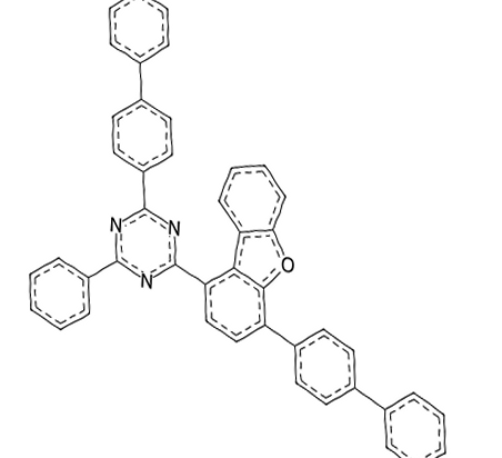 c1ccc(-c2ccc(-c3nc(-c4ccccc4)nc(-c4ccc(-c5ccc(-c6ccccc6)cc5)c5oc6ccccc6c45)n3)cc2)cc1